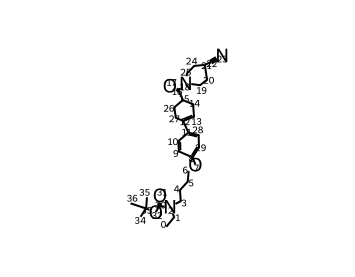 CCN(CCCCOc1ccc(C2=CCC(C(=O)N3CCC(C#N)CC3)CC2)cc1)C(=O)OC(C)(C)C